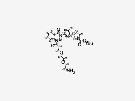 Cc1sc(NC(=O)c2ccccc2NC(=O)CCOCCOCCN)nc1C1CCN(C(=O)OC(C)(C)C)C1